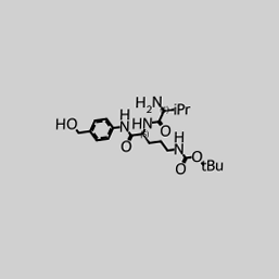 CC(C)[C@H](N)C(=O)N[C@@H](CCCNC(=O)OC(C)(C)C)C(=O)Nc1ccc(CO)cc1